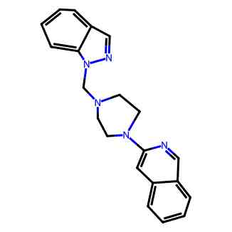 c1ccc2cc(N3CCN(Cn4ncc5ccccc54)CC3)ncc2c1